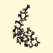 CC1[C@@](C)(C(=O)N2CCOCC2)SC(N)=N[C@]1(C)c1cc(/C=C(\F)c2ccc(C#N)cn2)cnc1F